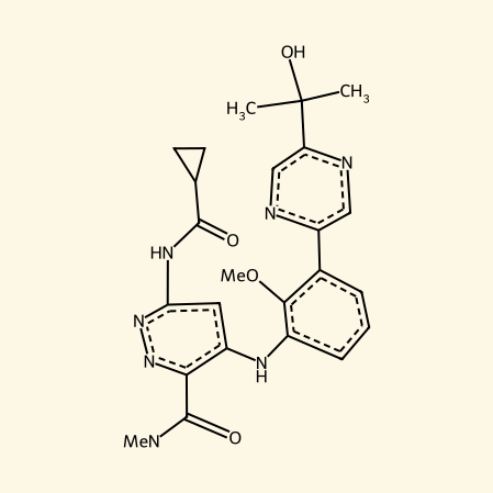 CNC(=O)c1nnc(NC(=O)C2CC2)cc1Nc1cccc(-c2cnc(C(C)(C)O)cn2)c1OC